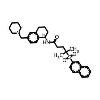 CC(C)(CCC(=O)N[C@@H]1CCCc2cc(CN3CCCCC3)ccc21)S(=O)(=O)c1ccc2ccccc2c1